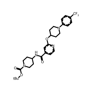 CC(C)(C)OC(=O)N1CCC(NC(=O)c2ccnc(OC3CCN(c4ccc(C(F)(F)F)cc4)CC3)c2)CC1